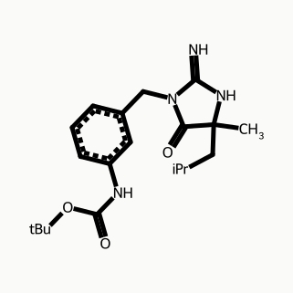 CC(C)CC1(C)NC(=N)N(Cc2cccc(NC(=O)OC(C)(C)C)c2)C1=O